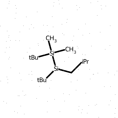 CC(C)C[Si](C(C)(C)C)[Si](C)(C)C(C)(C)C